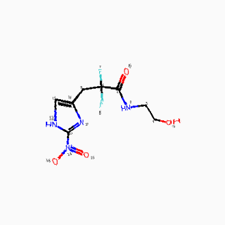 O=C(NCCO)C(F)(F)Cc1c[nH]c([N+](=O)[O-])n1